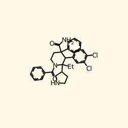 CCC1(C2CCNC2)C(c2ccc(Cl)c(Cl)c2)C(C(N)=O)(c2ccccc2)CCN1C(=O)c1ccccc1